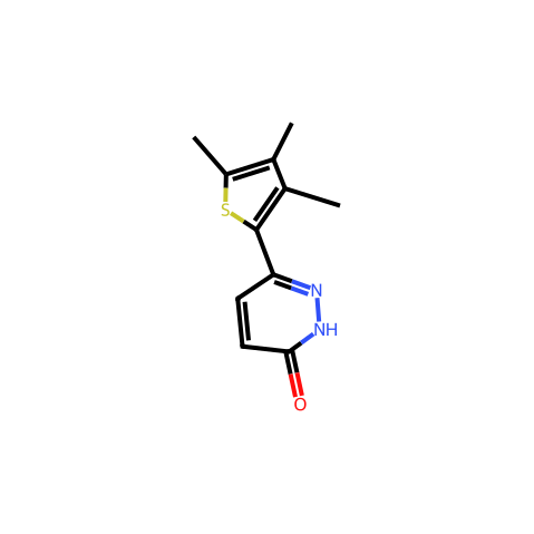 Cc1sc(-c2ccc(=O)[nH]n2)c(C)c1C